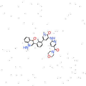 CNn1cc(-c2cccc(-c3cc(Nc4ccc(C(=O)N5CCOCC5)cn4)c(=O)n(C)c3)c2C)c(=O)c2ccccc21